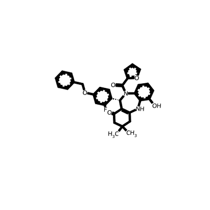 CC1(C)CC(=O)C2=C(C1)Nc1c(O)cccc1N(C(=O)c1ccco1)[C@H]2c1ccc(OCc2ccccc2)cc1F